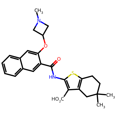 CN1CC(Oc2cc3ccccc3cc2C(=O)Nc2sc3c(c2C(=O)O)CC(C)(C)CC3)C1